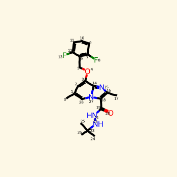 Cc1cc(OCc2c(F)cccc2F)c2nc(C)c(C(=O)NNC(C)(C)C)n2c1